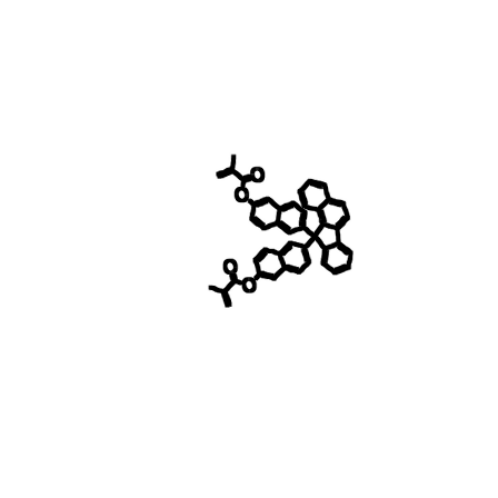 C=C(C)C(=O)Oc1ccc2cc(C3(c4ccc5cc(OC(=O)C(=C)C)ccc5c4)c4ccccc4-c4ccc5ccccc5c43)ccc2c1